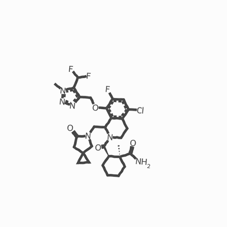 Cn1nnc(COc2c(F)cc(Cl)c3c2C(CN2CC4(CC4)CC2=O)N(C(=O)[C@@H]2CCCC[C@]2(C)C(N)=O)CC3)c1C(F)F